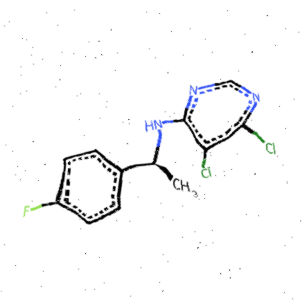 C[C@H](Nc1ncnc(Cl)c1Cl)c1ccc(F)cc1